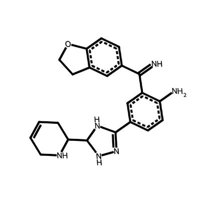 N=C(c1ccc2c(c1)CCO2)c1cc(C2=NNC(C3CC=CCN3)N2)ccc1N